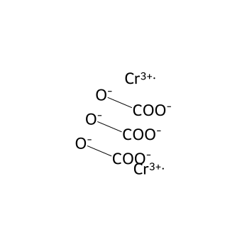 O=C([O-])[O-].O=C([O-])[O-].O=C([O-])[O-].[Cr+3].[Cr+3]